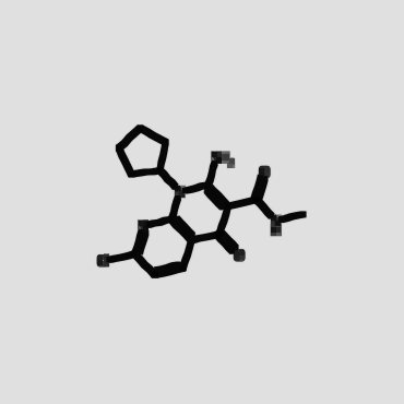 CNC(=O)c1c(N)n(C2CCCC2)c2nc(Cl)ccc2c1=O